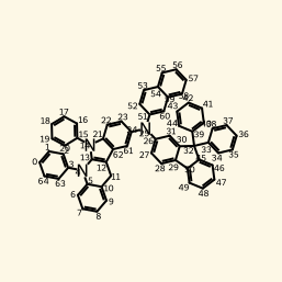 c1ccc(N2c3ccccc3Cc3c2n(-c2ccccc2)c2ccc(N(c4ccc5c(c4)C(c4ccccc4)(c4ccccc4)c4ccccc4-5)c4ccc5ccccc5c4)cc32)cc1